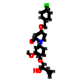 COc1cc(-n2ccc(OCc3ccc(Cl)cc3)cc2=O)ccc1OC[C@@H](O)C1CC1